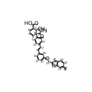 CC1C(C(=O)O)=CC=CC1(C(=O)O)c1ccc(C=Cc2cccc(OCc3nc4cc(F)ccc4s3)c2)cc1